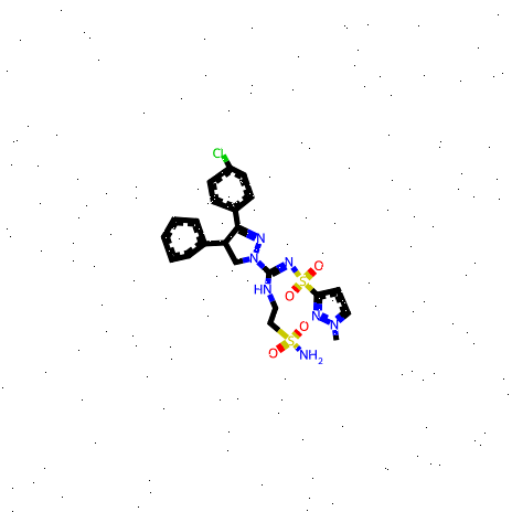 Cn1ccc(S(=O)(=O)N=C(NCCS(N)(=O)=O)N2CC(c3ccccc3)C(c3ccc(Cl)cc3)=N2)n1